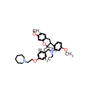 CCN(Cc1ccc(OCCN2CCCCCC2)cc1)c1cc(OC)ccc1C1Cc2ccc(OC)cc2OC1(C)C